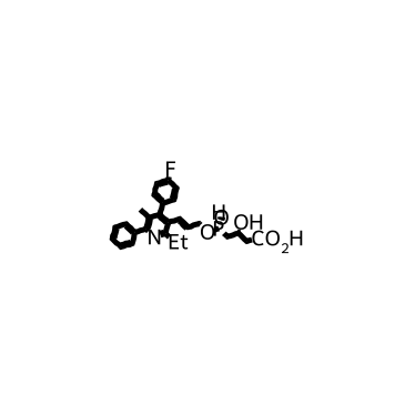 CCc1nc(-c2ccccc2)c(C)c(-c2ccc(F)cc2)c1/C=C/CO[PH](=O)C[C@@H](O)CC(=O)O